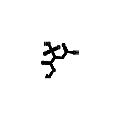 O=C(O)CC(C(=O)[O][Au])S(=O)(=O)O